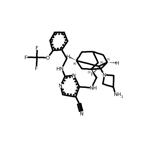 N#Cc1cnc(NCc2ccccc2OC(F)(F)F)nc1NC[C@]12CC3C[C@H](C1)[C@H](N1CC(N)C1)[C@@H](C3)C2